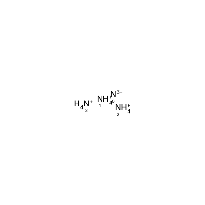 [N-3].[NH4+].[NH4+].[NH4+]